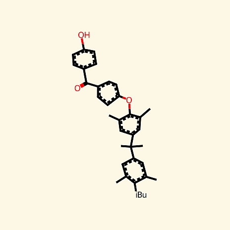 CCC(C)c1c(C)cc(C(C)(C)c2cc(C)c(Oc3ccc(C(=O)c4ccc(O)cc4)cc3)c(C)c2)cc1C